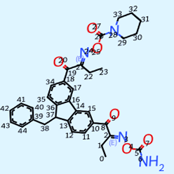 CC/C(=N\OC(N)=O)C(=O)c1ccc2c(c1)-c1cc(C(=O)/C(CC)=N/OC(=O)N3CCCCC3)ccc1C2Cc1ccccc1